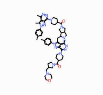 Cc1ccc(-n2nc3c(N4CCC(C(=O)N5CC6CNC(Cc7c8c(C)nnc(N9CCC(C(=O)N%10CCC(CN%11CCOCC%11)C%10)CC9)c8nn7-c7ccc(C)cc7)C6C5)CC4)nnc(C)c3c2C)cc1